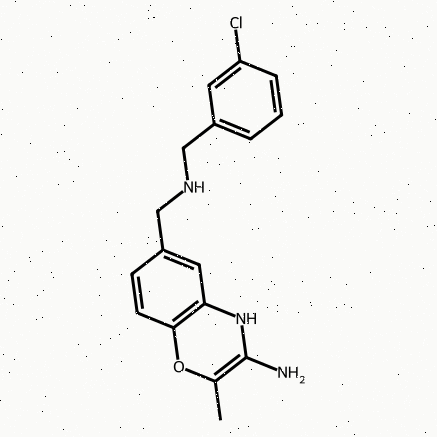 CC1=C(N)Nc2cc(CNCc3cccc(Cl)c3)ccc2O1